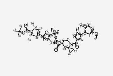 COc1cc(-c2cc(C(=O)N3CC[C@H](C(=O)NCc4nc(N5C[C@@H](C)N(C(=O)OC(C)(C)C)[C@@H](C)C5)oc4C(F)(F)F)CC34CC4)n[nH]2)c(F)cn1